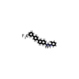 C=c1cccc/c1=C/C=C(\CCC)c1ccc2cc(-c3ccc(-c4cccc(C(F)(F)F)c4)cc3)ccc2c1